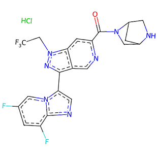 Cl.O=C(c1cc2c(cn1)c(-c1cnc3c(F)cc(F)cn13)nn2CC(F)(F)F)N1CC2CC1CN2